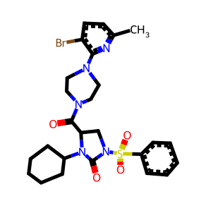 Cc1ccc(Br)c(N2CCN(C(=O)C3CN(S(=O)(=O)c4ccccc4)C(=O)N3C3CCCCC3)CC2)n1